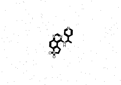 CC(Nc1ncnc2ccc3c(c12)CCS3(=O)=O)c1ccncc1